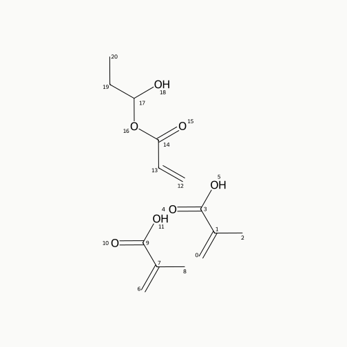 C=C(C)C(=O)O.C=C(C)C(=O)O.C=CC(=O)OC(O)CC